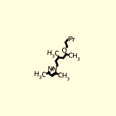 Cc1cc(C)n(CCC(C)CC(C)OCCC(C)C)n1